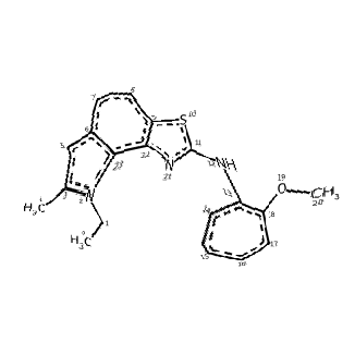 CCn1c(C)cc2ccc3sc(Nc4ccccc4OC)nc3c21